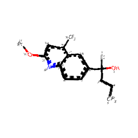 CCC(O)(CCC(F)(F)F)c1ccc2nc(OC(C)C)cc(C(F)(F)F)c2c1